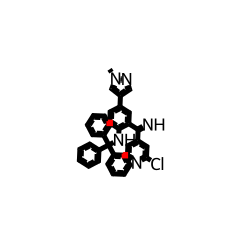 Cn1cc(-c2ccc(NC(c3ccccc3)(c3ccccc3)c3ccccc3)c(C(=N)c3ccnc(Cl)c3)c2)cn1